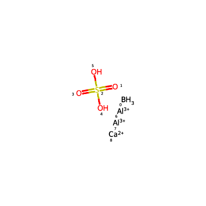 B.O=S(=O)(O)O.[Al+3].[Al+3].[Ca+2]